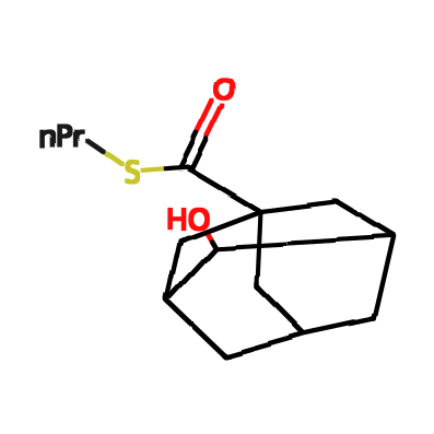 CCCSC(=O)C12CC3CC(C1)C(O)C(C3)C2